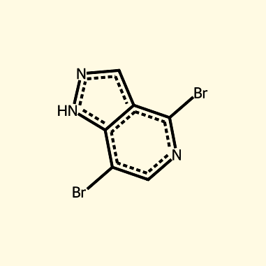 Brc1ncc(Br)c2[nH]ncc12